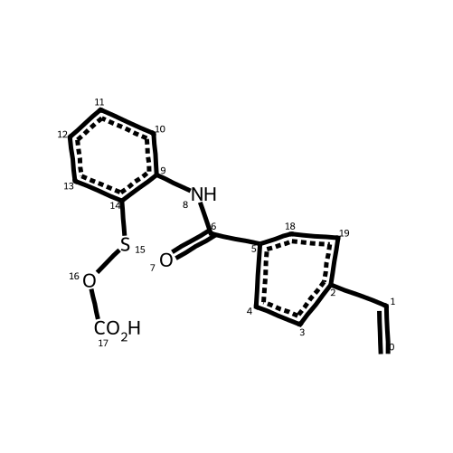 C=Cc1ccc(C(=O)Nc2ccccc2SOC(=O)O)cc1